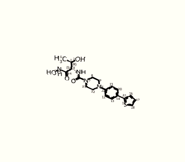 C[C@@H](O)[C@H](NC(=O)N1CCN(c2ccc(-c3cccs3)cc2)CC1)C(=O)NO